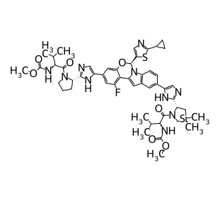 COC(=O)N[C@H](C(=O)N1CCC[C@H]1c1ncc(-c2cc(F)c3c(c2)O[C@@H](c2cnc(C4CC4)s2)n2c-3cc3cc(-c4cnc([C@@H]5C[Si](C)(C)CN5C(=O)[C@@H](NC(=O)OC)C(C)C)[nH]4)ccc32)[nH]1)C(C)C